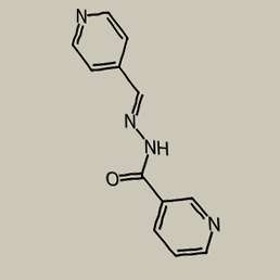 O=C(NN=Cc1ccncc1)c1cccnc1